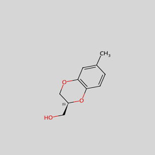 Cc1ccc2c(c1)OC[C@H](CO)O2